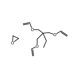 C1CO1.C=COCC(CC)(COC=C)COC=C